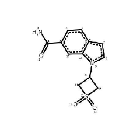 NC(=O)c1ccc2ccn(C3CS(=O)(=O)C3)c2c1